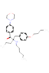 CCCCCNC(CCC)(Cc1ccc(OCCCC)cc1)C(=O)c1ccc(N2CCOCC2)cc1